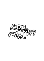 CO[Si](C)(OC)OC.CO[Si](OC)(OC)c1ccc([Si](OC)(OC)OC)cc1